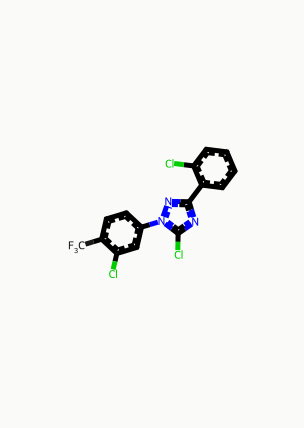 FC(F)(F)c1ccc(-n2nc(-c3ccccc3Cl)nc2Cl)cc1Cl